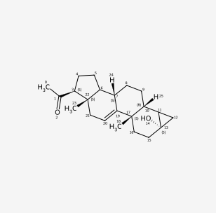 CC(=O)[C@H]1CCC2[C@@H]3CC[C@@H]4C5C[C@@]5(O)CC[C@]4(C)C3=CC[C@@]21C